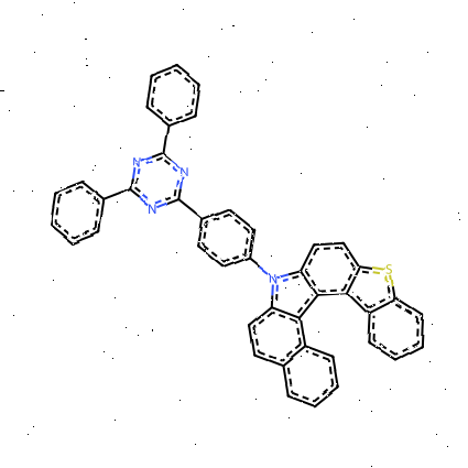 c1ccc(-c2nc(-c3ccccc3)nc(-c3ccc(-n4c5ccc6ccccc6c5c5c6c(ccc54)sc4ccccc46)cc3)n2)cc1